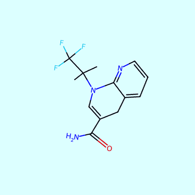 CC(C)(N1C=C(C(N)=O)Cc2cccnc21)C(F)(F)F